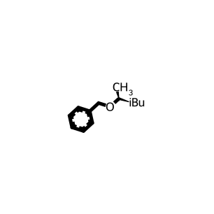 CC[C@H](C)[C@H](C)OCc1ccccc1